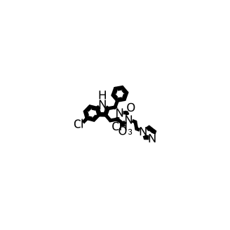 CC12Cc3c([nH]c4ccc(Cl)cc34)C(c3ccccc3)N1C(=O)N(CCn1ccnc1)C2=O